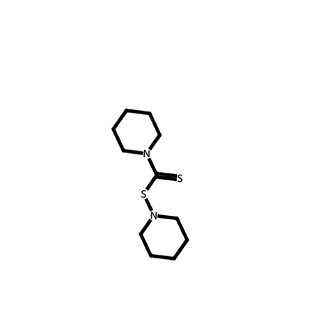 S=C(SN1CCCCC1)N1CCCCC1